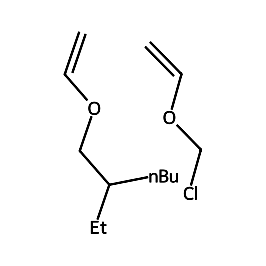 C=COCC(CC)CCCC.C=COCCl